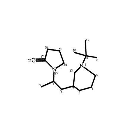 CC(CC1CCCN(C(C)(C)C)C1)N1CCCC1=O